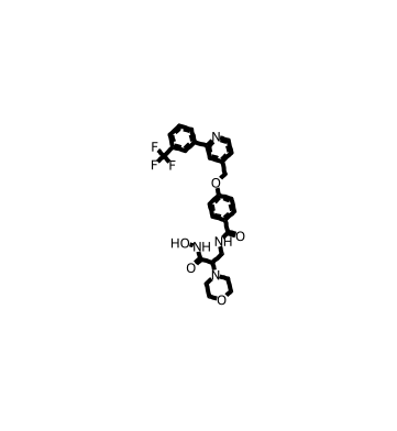 O=C(NCC(C(=O)NO)N1CCOCC1)c1ccc(OCc2ccnc(-c3cccc(C(F)(F)F)c3)c2)cc1